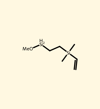 C=C[Si](C)(C)CC[SiH2]OC